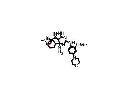 COc1cc(N2CCOCC2)ccc1NC1=NC(N)(C2CCCCC2)C2=C(c3ccn(C)n3)NNC2=N1